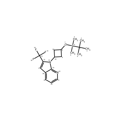 CC(C)(C)[Si](C)(C)OC1CC(n2c(C(F)(F)F)cc3cccnc32)C1